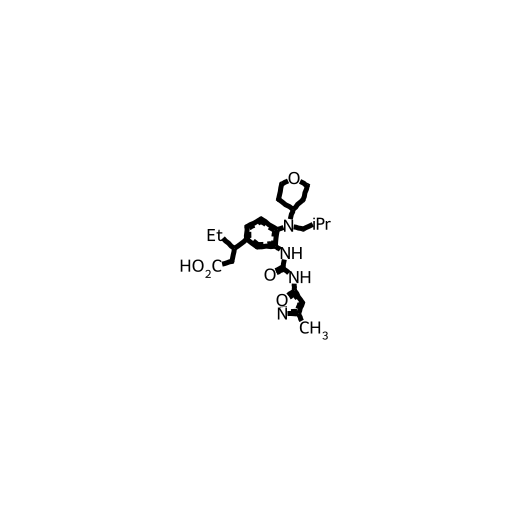 CCC(CC(=O)O)c1ccc(N(CC(C)C)C2CCOCC2)c(NC(=O)Nc2cc(C)no2)c1